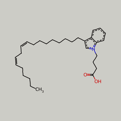 CCCCC/C=C\C/C=C\CCCCCCCCc1cn(CCCC(=O)O)c2ccccc12